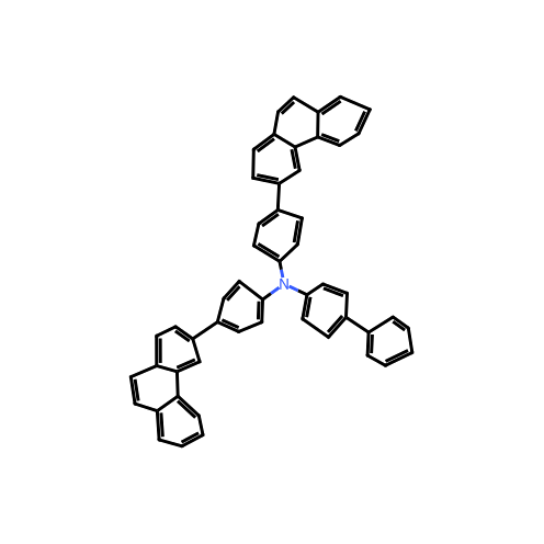 c1ccc(-c2ccc(N(c3ccc(-c4ccc5ccc6ccccc6c5c4)cc3)c3ccc(-c4ccc5ccc6ccccc6c5c4)cc3)cc2)cc1